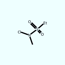 CCS(=O)(=O)N(C)Cl